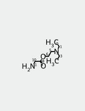 CCN(CC)CCOC(=O)CN